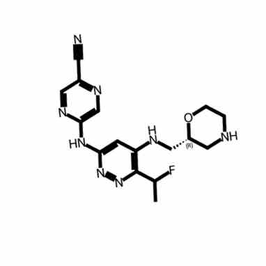 CC(F)c1nnc(Nc2cnc(C#N)cn2)cc1NC[C@H]1CNCCO1